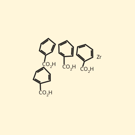 O=C(O)c1ccccc1.O=C(O)c1ccccc1.O=C(O)c1ccccc1.O=C(O)c1ccccc1.[Zr]